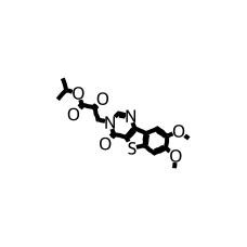 COc1cc2sc3c(=O)n(CC(=O)C(=O)OC(C)C)cnc3c2cc1OC